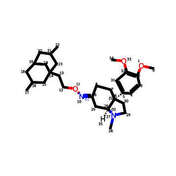 COc1ccc([C@@]23CC/C(=N\OCCC45CC(C)CC(CC(C)C4)C5)C[C@@H]2N(C)CC3)cc1OC